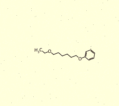 CCOCCCCCCOc1c[c]ccc1